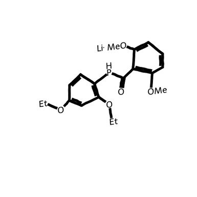 CCOc1ccc(PC(=O)c2c(OC)cccc2OC)c(OCC)c1.[Li]